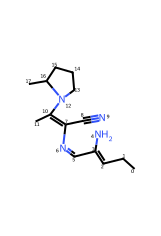 CC/C=C(N)/C=N\C(C#N)=C(/C)N1CCCC1C